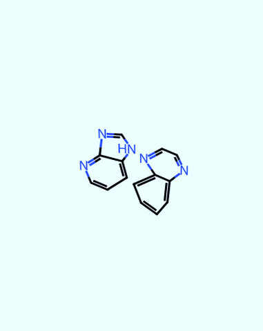 c1ccc2nccnc2c1.c1cnc2nc[nH]c2c1